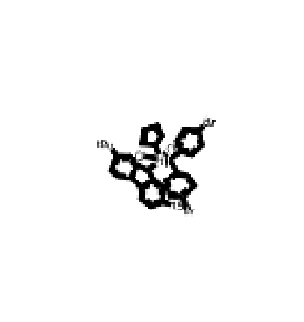 CC(C)(C)c1ccc2c(c1)[CH]([Hf]([Cl])([Cl])(=[C](c1ccc(Br)cc1)c1ccc(Br)cc1)[CH]1C=CC=C1)c1cc(C(C)(C)C)ccc1-2